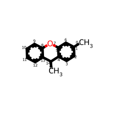 Cc1ccc2c(c1)Oc1ccccc1C2C